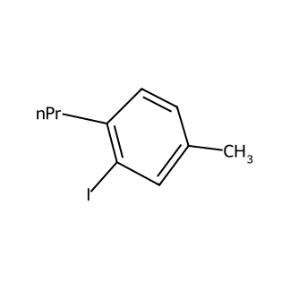 CCCc1ccc(C)cc1I